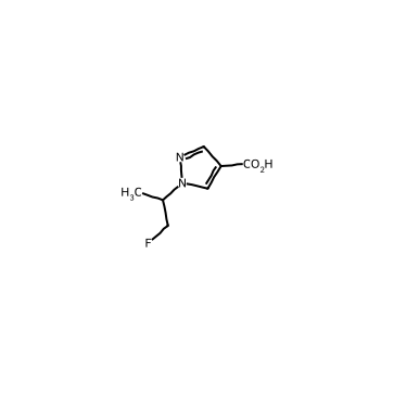 CC(CF)n1cc(C(=O)O)cn1